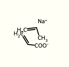 C=CC.C=CC(=O)[O-].[Na+]